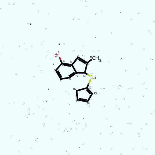 CC1=Cc2c(Br)cccc2C1SC1=CC=CC1